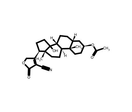 CC(=O)O[C@H]1CC[C@@]2(C)[C@H](CC[C@@H]3[C@@H]2CC[C@]2(C)[C@@H](C4=C(C#N)C(=O)OC4)CCC32O)C1